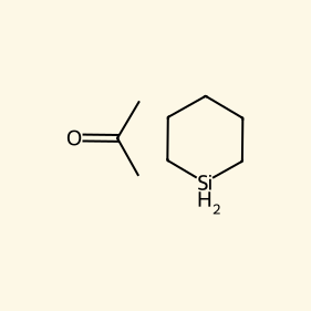 C1CC[SiH2]CC1.CC(C)=O